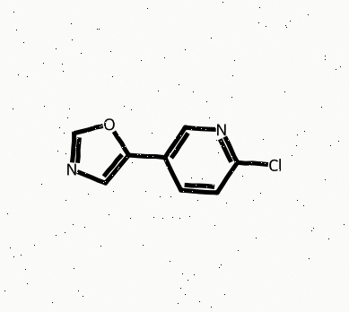 Clc1ccc(-c2cnco2)cn1